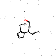 C=C[CH]([Os][CH]=O)C1=C(CC)C=CC1